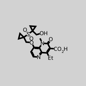 CCc1c(C(=O)O)c(=O)n(C)c2c(OCC3(S(=O)(=O)C4(CO)CC4)CC3)ccnc12